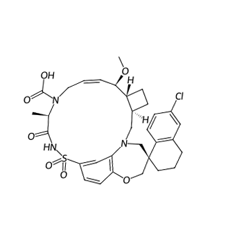 CO[C@@H]1/C=C\CN(C(=O)O)[C@H](C)C(=O)NS(=O)(=O)c2ccc3c(c2)N(C[C@@H]2CC[C@H]21)C[C@@]1(CCCc2cc(Cl)ccc21)CO3